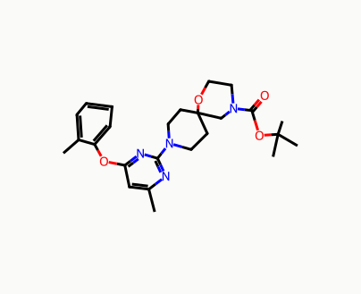 Cc1cc(Oc2ccccc2C)nc(N2CCC3(CC2)CN(C(=O)OC(C)(C)C)CCO3)n1